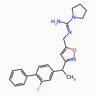 CC(c1ccc(-c2ccccc2)c(F)c1)c1cc(C/N=C(\N)N2CCCC2)on1